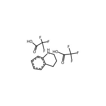 O=C(O)C(F)(F)F.O=C(O)C(F)(F)F.c1ccc2c(c1)CCCN2